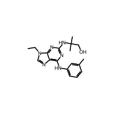 CCn1cnc2c(Nc3cccc(C)c3)nc(NC(C)(C)CO)nc21